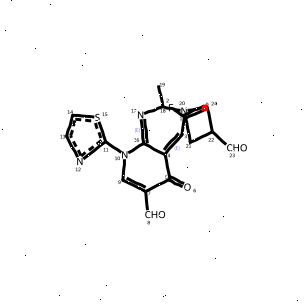 C=C(F)/C=C1/C(=O)C(C=O)=CN(c2nccs2)/C1=N/C(C)N1CC(C=O)C1